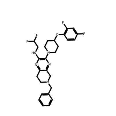 Fc1ccc(OC2CCN(c3nc4c(nc3NCC(F)F)CCN(Cc3ccccc3)C4)CC2)c(F)c1